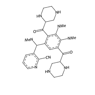 CNc1c(C(=O)C2CNCCN2)cc(C(NC)c2cccnc2C#N)c(C(=O)C2CNCCN2)c1NC